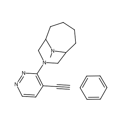 C#Cc1ccnnc1N1CC2CCCCC(C1)N2C.c1ccccc1